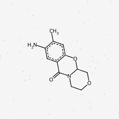 Cc1cc2c(cc1N)C(=O)N1CCOCC1O2